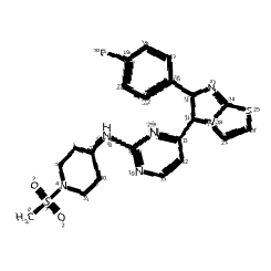 CS(=O)(=O)N1CCC(Nc2nccc(C3C(c4ccc(F)cc4)N=C4SC=CN43)n2)CC1